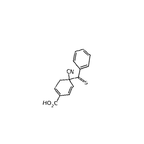 N#CC1(C(=S)c2ccccc2)C=CC(C(=O)O)=CC1